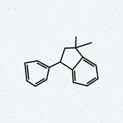 CC1(C)CC(c2ccccc2)c2ccccc21